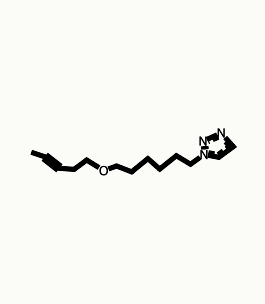 CC#CCCOCCCCCCn1ccnn1